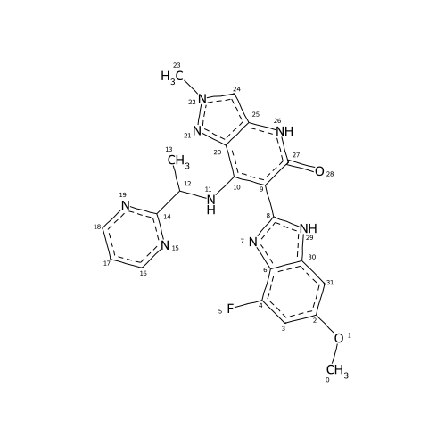 COc1cc(F)c2nc(-c3c(NC(C)c4ncccn4)c4nn(C)cc4[nH]c3=O)[nH]c2c1